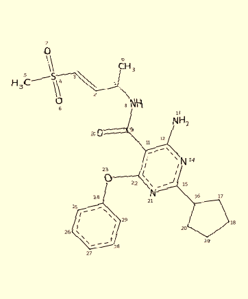 CC(/C=C/S(C)(=O)=O)NC(=O)c1c(N)nc(C2CCCC2)nc1Oc1ccccc1